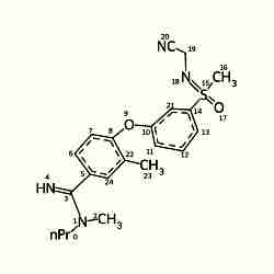 CCCN(C)C(=N)c1ccc(Oc2cccc(S(C)(=O)=NCC#N)c2)c(C)c1